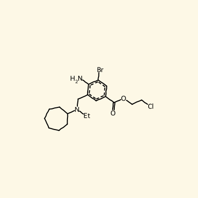 CCN(Cc1cc(C(=O)OCCCl)cc(Br)c1N)C1CCCCCC1